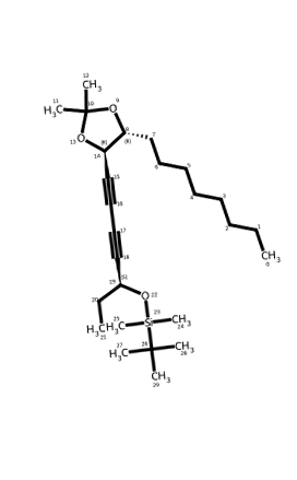 CCCCCCCC[C@H]1OC(C)(C)O[C@@H]1C#CC#C[C@H](CC)O[Si](C)(C)C(C)(C)C